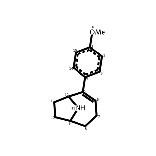 COc1ccc(C2=CCCC3CCC2N3)cc1